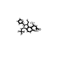 CCC1c2c(ccc3[nH]c(=O)cc(Cl)c23)N(CC(F)(F)F)C1c1cccs1